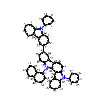 c1ccc(-n2c3ccccc3c3cc(-c4ccc5c(c4)c4ccc6c(c7ccccc7n6-c6ccccc6)c4n5-c4cccc5ccccc45)ccc32)cc1